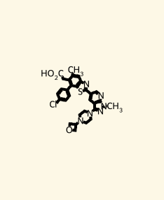 Cc1cc2nc(-c3cnc4c(c3)c(N3CCN(C5COC5)CC3)nn4C)sc2c(-c2ccc(Cl)cc2)c1CC(=O)O